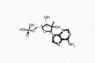 CC1(O)[C@@H](O)[C@@H](COP(=O)(O)O)O[C@H]1n1cnc2c(N)ncnc21